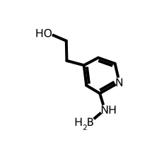 BNc1cc(CCO)ccn1